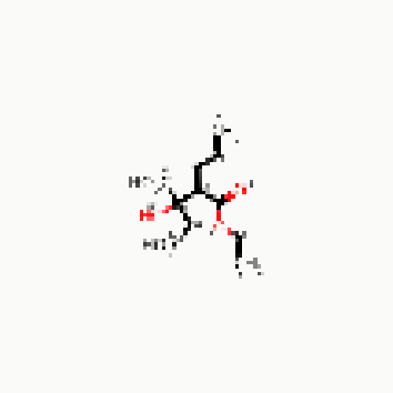 C=CCC(C(=O)OC=C)C(O)(CC(=O)O)C(=O)O